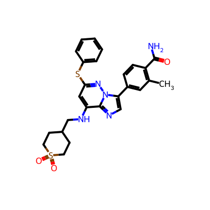 Cc1cc(-c2cnc3c(NCC4CCS(=O)(=O)CC4)cc(Sc4ccccc4)nn23)ccc1C(N)=O